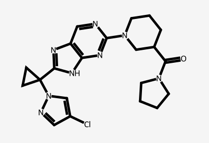 O=C(C1CCCN(c2ncc3nc(C4(n5cc(Cl)cn5)CC4)[nH]c3n2)C1)N1CCCC1